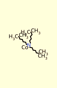 CC(C)CCCCCN(CCCCCC(C)C)CCCCCC(C)C.[Co]